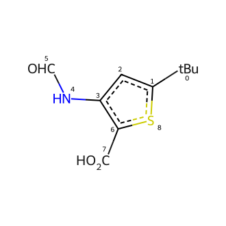 CC(C)(C)c1cc(NC=O)c(C(=O)O)s1